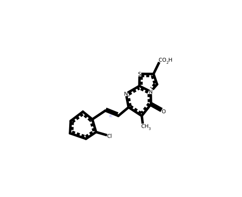 Cc1c(/C=C/c2ccccc2Cl)nc2sc(C(=O)O)cn2c1=O